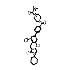 CN(C)C(=O)N1CCN(C(=O)c2ccc(-c3cc(Cl)c(CC4CCN(C5CCCCC5)C4=O)c(Cl)c3)cc2)CC1